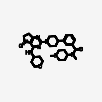 CN1CCC(N(C)C(=O)c2cccc(C3CCN(c4nc5c(c(NC6CCOCC6)n4)[S+]([O-])CC5)CC3)c2)CC1